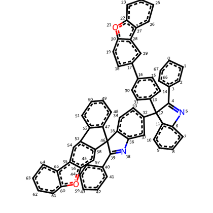 c1ccc(C2=Nc3ccccc3C2(c2ccc(-c3ccc4oc5ccccc5c4c3)cc2)c2ccc3c(c2)N=C(c2ccccc2)C32c3ccccc3-c3cc4c(cc32)oc2ccccc24)cc1